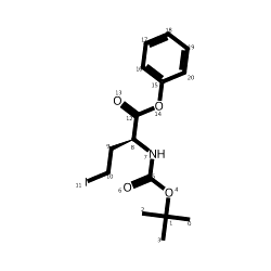 CC(C)(C)OC(=O)N[C@@H](CCI)C(=O)Oc1ccccc1